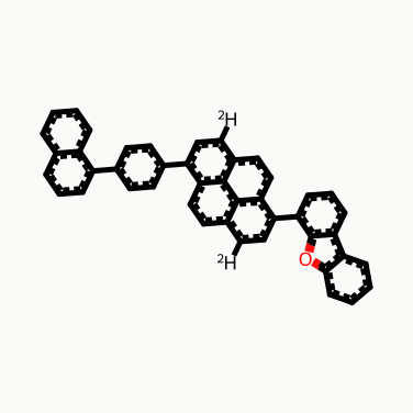 [2H]c1cc(-c2ccc(-c3cccc4ccccc34)cc2)c2ccc3c([2H])cc(-c4cccc5c4oc4ccccc45)c4ccc1c2c34